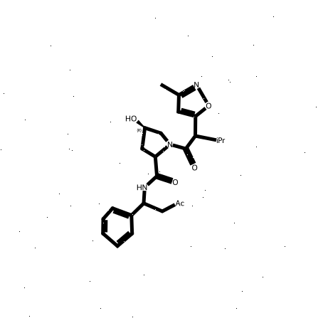 CC(=O)CC(NC(=O)C1C[C@@H](O)CN1C(=O)C(c1cc(C)no1)C(C)C)c1ccccc1